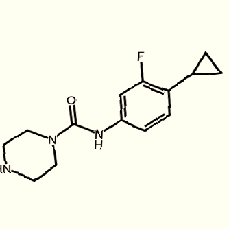 O=C(Nc1ccc(C2CC2)c(F)c1)N1CCNCC1